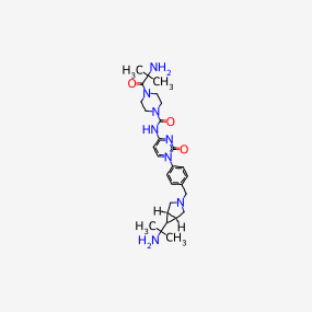 CC(C)(N)C(=O)N1CCN(C(=O)Nc2ccn(-c3ccc(CN4C[C@@H]5C(C(C)(C)N)[C@@H]5C4)cc3)c(=O)n2)CC1